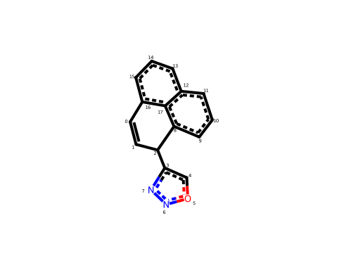 C1=CC(c2conn2)c2cccc3cccc1c23